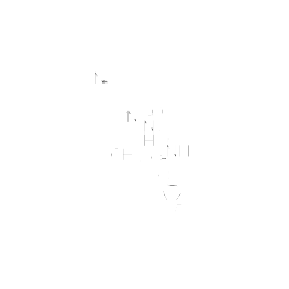 CCCCCN1CC(CCC#N)CCC1C(=O)NC12CCC(NC(=O)COc3ccc(Cl)c(F)c3)(C1)C2